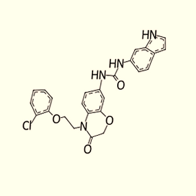 O=C(Nc1ccc2c(c1)OCC(=O)N2CCOc1ccccc1Cl)Nc1ccc2cc[nH]c2c1